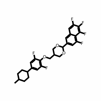 CC1CCC(c2cc(F)c(OCC3COC(c4cc(F)c5c(F)c(F)c(F)cc5c4)OC3)c(F)c2)CC1